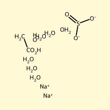 O.O.O.O.O.O.O.O=S([O-])[O-].[CH2]C(=O)O.[Na+].[Na+]